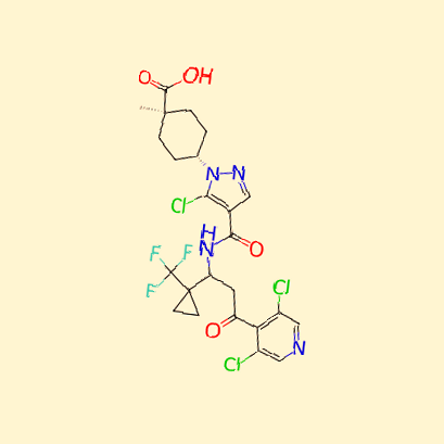 C[C@]1(C(=O)O)CC[C@H](n2ncc(C(=O)NC(CC(=O)c3c(Cl)cncc3Cl)C3(C(F)(F)F)CC3)c2Cl)CC1